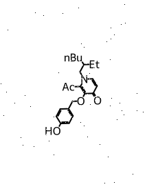 CCCCC(CC)Cn1ccc(=O)c(OCc2ccc(O)cc2)c1C(C)=O